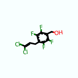 OCc1c(F)c(F)c(CC=C(Cl)Cl)c(F)c1F